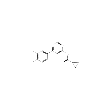 Cc1cc(-c2cc(NC(=O)C3CC3)ncn2)ccc1F